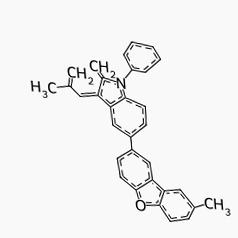 C=C(C)/C=c1\c(=C)n(-c2ccccc2)c2ccc(-c3ccc4oc5ccc(C)cc5c4c3)cc12